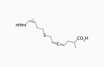 CCCCCC/C=C\CCSCC=C=CCC(C)C(=O)O